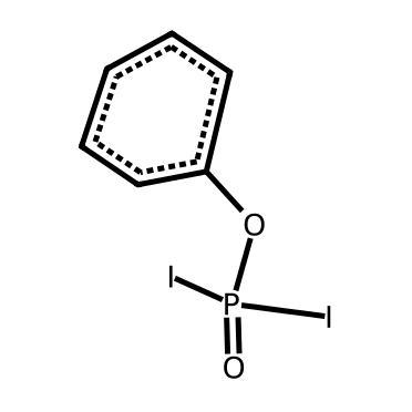 O=P(I)(I)Oc1ccccc1